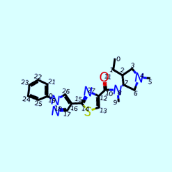 CCC1CN(C)CC1N(C)C(=O)c1csc(-c2cnn(-c3ccccc3)c2)n1